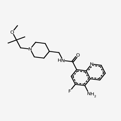 COC(C)(C)CN1CCC(CNC(=O)c2cc(F)c(N)c3cccnc23)CC1